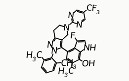 Cc1cccc(C)c1-n1nc2c(c1-c1cc(C)c(O)c3[nH]cc(F)c13)CN(c1ncc(C(F)(F)F)cn1)CC2